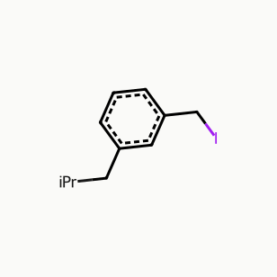 CC(C)Cc1cccc(CI)c1